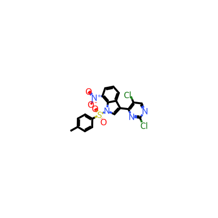 Cc1ccc(S(=O)(=O)n2cc(-c3nc(Cl)ncc3Cl)c3cccc([N+](=O)[O-])c32)cc1